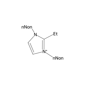 CCCCCCCCCn1cc[n+](CCCCCCCCC)c1CC